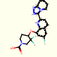 O=C(O)N1CCC(Oc2cc(F)cc3ccc(-c4nnc5ccccn45)nc23)C(F)(F)C1